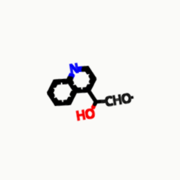 O=[C]C(O)c1ccnc2ccccc12